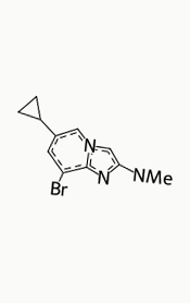 CNc1cn2cc(C3CC3)cc(Br)c2n1